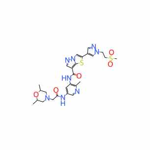 Cc1ncc(NC(=O)CN2CC(C)OC(C)C2)cc1NC(=O)c1cnn2cc(-c3cnn(CCS(C)(=O)=O)c3)sc12